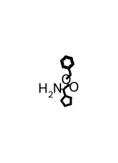 N[C@H](C(=O)OCc1ccccc1)C1CCCC1